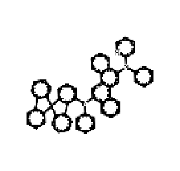 c1ccc(N(c2ccccn2)c2cc3c4ccccc4c(N(c4ccccc4)c4cccc5c4-c4ccccc4C54c5ccccc5-c5ccccc54)cc3c3ccccc23)cc1